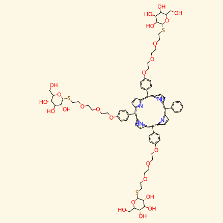 OCC1O[C@H](SCCOCCOCCOc2ccc(-c3c4nc(c(-c5ccc(OCCOCCOCCSC6OC(CO)[C@@H](O)[C@H](O)[C@H]6O)cc5)c5ccc([nH]5)c(-c5ccc(OCCOCCOCCSC6OC(CO)[C@@H](O)[C@H](O)[C@H]6O)cc5)c5nc(c(-c6ccccc6)c6ccc3[nH]6)C=C5)C=C4)cc2)[C@@H](O)[C@@H](O)C1O